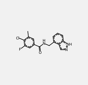 Cc1cc(C(=O)NCc2cccc3[nH]ncc23)cc(F)c1Cl